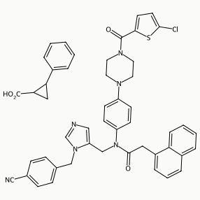 N#Cc1ccc(Cn2cncc2CN(C(=O)Cc2cccc3ccccc23)c2ccc(N3CCN(C(=O)c4ccc(Cl)s4)CC3)cc2)cc1.O=C(O)C1CC1c1ccccc1